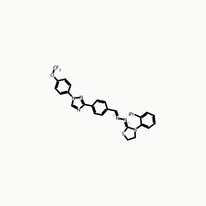 CC(C)c1ccccc1N1CCS/C1=N\N=C\c1ccc(-c2ncn(-c3ccc(OC(F)(F)F)cc3)n2)cc1